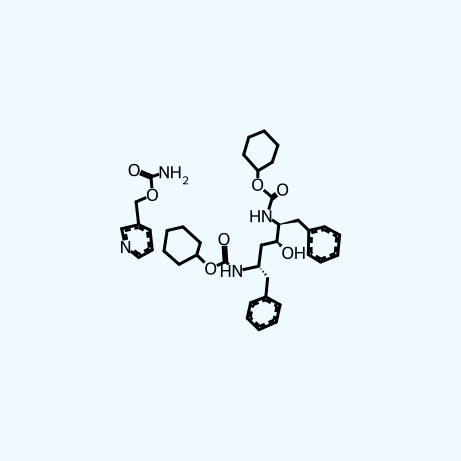 NC(=O)OCc1cccnc1.O=C(N[C@@H](Cc1ccccc1)C[C@H](O)[C@H](Cc1ccccc1)NC(=O)OC1CCCCC1)OC1CCCCC1